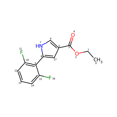 CCOC(=O)c1c[nH]c(-c2c(F)cccc2F)c1